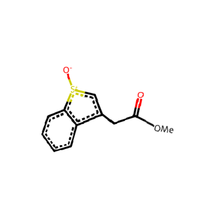 COC(=O)Cc1c[s+]([O-])c2ccccc12